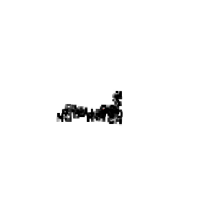 Cc1ncsc1-c1ccc(CNC(=O)[C@@H]2C[C@@H](O)CN2C(=O)C(NC(=O)CNCCNc2ccc(-c3ccc(C(=O)N[C@H]4C(C)(C)[C@H](Oc5ccc(C#N)c(Cl)c5)C4(C)C)cc3)cn2)C(C)(C)C)cc1